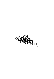 Cc1ccc(OC2C[C@H]3[C@@H]4C(C)CC5SC(=O)C=C[C@]5(C)[C@@H]4CC[C@]3(C)C2)cc1